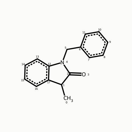 CC1C(=O)N(Cc2ccccc2)c2ccccc21